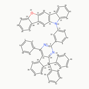 c1ccc(-c2nc(-c3cccc(-n4c5ccccc5c5cc6oc7ccccc7c6cc54)c3)nc3c2-c2ccccc2[Si]3(c2ccccc2)c2ccccc2)cc1